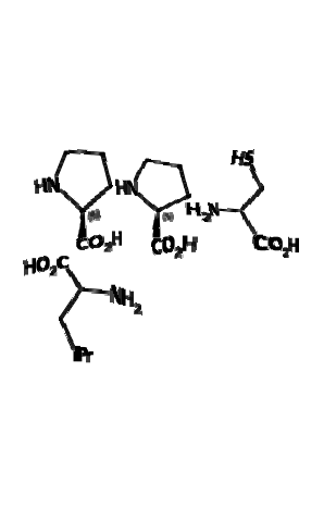 CC(C)CC(N)C(=O)O.NC(CS)C(=O)O.O=C(O)[C@@H]1CCCN1.O=C(O)[C@@H]1CCCN1